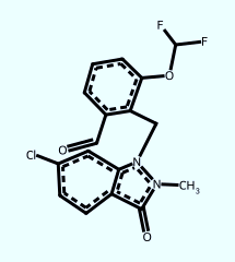 Cn1c(=O)c2ccc(Cl)cc2n1Cc1c(C=O)cccc1OC(F)F